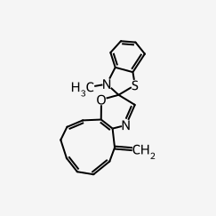 C=C1/C=C\C=C/C/C=C\C2=C1N=CC1(O2)Sc2ccccc2N1C